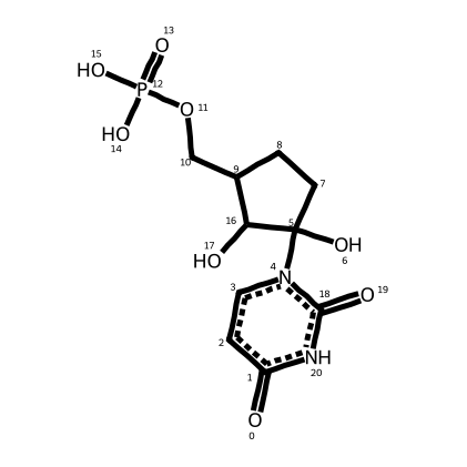 O=c1ccn(C2(O)CCC(COP(=O)(O)O)C2O)c(=O)[nH]1